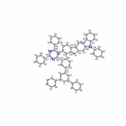 c1ccc(-c2cc(-c3ccccc3)cc(-c3ccc(-c4cccc5c4sc4cc6c(cc45)c4ccccc4n6-c4ccccc4)c(-c4nc(-c5ccccc5)nc(-c5ccccc5)n4)c3)c2)cc1